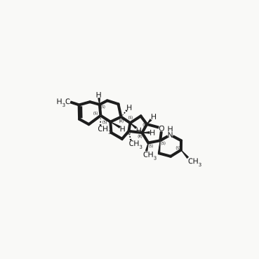 CC1=CC[C@@]2(C)[C@@H](CC[C@@H]3[C@@H]2CC[C@]2(C)[C@@H]4[C@H](C[C@@H]32)O[C@@]2(CC[C@H](C)CN2)[C@H]4C)C1